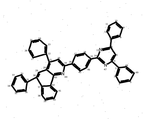 c1ccc(-c2cc(-c3ccccc3)nc(-c3ccc(-c4cc(-c5ccccc5)c5cc(-c6ccccc6)c6ccccc6c5n4)cc3)n2)cc1